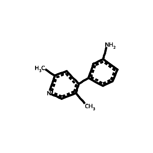 Cc1cc(-c2cccc(N)c2)c(C)cn1